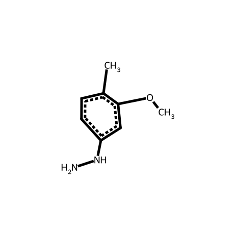 COc1cc(NN)ccc1C